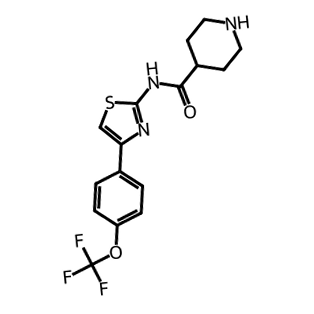 O=C(Nc1nc(-c2ccc(OC(F)(F)F)cc2)cs1)C1CCNCC1